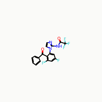 O=C(c1ccccc1)c1c(F)cc(F)cc1-n1ccnc1NC(=O)C(F)(F)F